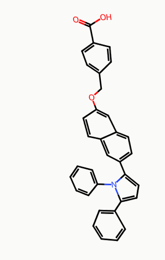 O=C(O)c1ccc(COc2ccc3cc(-c4ccc(-c5ccccc5)n4-c4ccccc4)ccc3c2)cc1